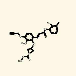 C#CCOc1ccc(/C=C/C(=O)Nc2cccc(C)c2C#N)c(OC2CN(C(=O)OC(C)(C)C)C2)c1OC